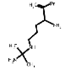 C=C(C(C)C)C(N)CCCNC(C)(C)N